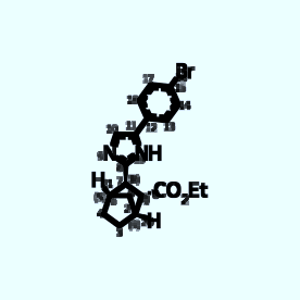 CCOC(=O)[C@@H]1[C@@H]2CC[C@@H](C2)[C@H]1c1ncc(-c2ccc(Br)cc2)[nH]1